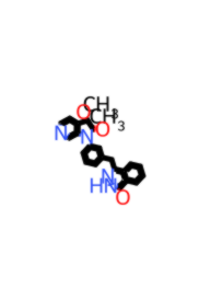 COC1(C)C(=O)N(c2cccc(Cc3n[nH]c(=O)c4ccccc34)c2)c2cnccc21